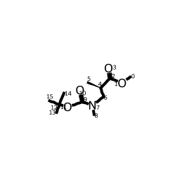 COC(=O)[C@H](C)CN(C)C(=O)OC(C)(C)C